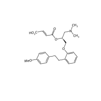 COc1ccc(CCc2ccccc2OC[C@H](CN(C)C)OC(=O)/C=C/C(=O)O)cc1